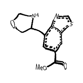 COC(=O)c1cc(C2COCN2)c2ncsc2c1